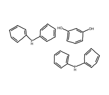 Oc1cccc(O)c1.c1ccc(Pc2ccccc2)cc1.c1ccc(Pc2ccccc2)cc1